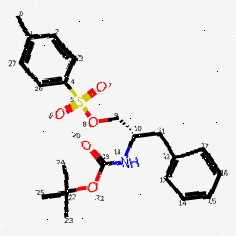 Cc1ccc(S(=O)(=O)OC[C@H](Cc2ccccc2)NC(=O)OC(C)(C)C)cc1